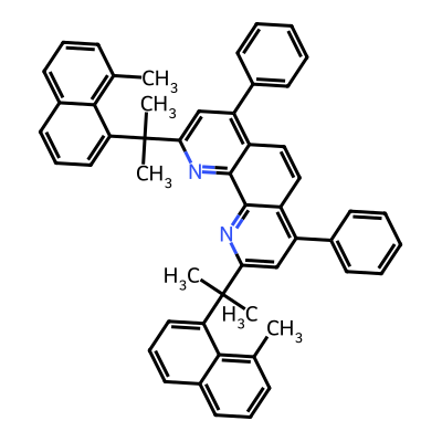 Cc1cccc2cccc(C(C)(C)c3cc(-c4ccccc4)c4ccc5c(-c6ccccc6)cc(C(C)(C)c6cccc7cccc(C)c67)nc5c4n3)c12